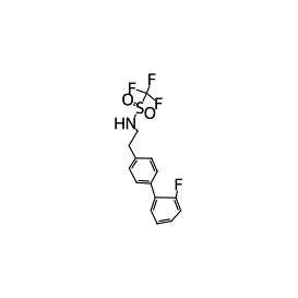 O=S(=O)(NCCc1ccc(-c2ccccc2F)cc1)C(F)(F)F